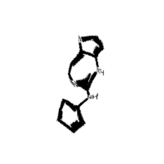 c1ccc(Nc2ncc3nccc-3[nH]2)cc1